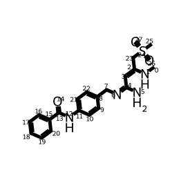 CN/C(=C\C(N)=N/Cc1ccc(NC(=O)c2ccccc2)cc1)CS(C)(=O)=O